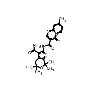 Cc1ccn2c(=O)c(C(=O)Nc3sc4c(c3C(N)=O)CC(C)(C)OC4(C)C)cnc2c1